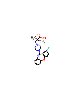 CC(C)(CN1CCN(C2=Nc3ccccc3Oc3ccc(F)cc32)CC1)C(=O)O